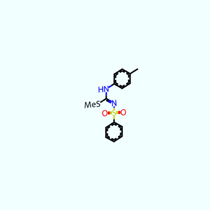 CS/C(=N\S(=O)(=O)c1ccccc1)Nc1ccc(C)cc1